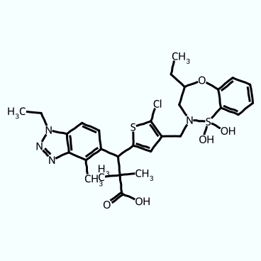 CCC1CN(Cc2cc(C(c3ccc4c(nnn4CC)c3C)C(C)(C)C(=O)O)sc2Cl)S(O)(O)c2ccccc2O1